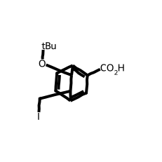 CC(C)(C)OC1c2ccc(cc2C(=O)O)C1CI